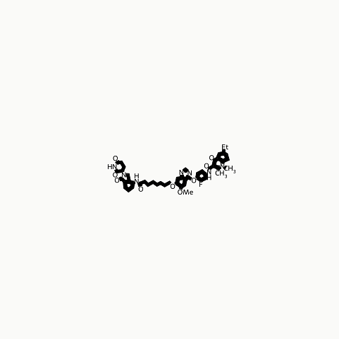 CCc1ccc2c(c1)c(=O)c(C(=O)Nc1ccc(Oc3ncnc4cc(OCCCCCCCC(=O)Nc5cccc6c5CN(C5CCC(=O)NC5=O)C6=O)c(OC)cc34)c(F)c1)c(C)n2C